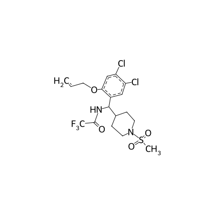 C=CCOc1cc(Cl)c(Cl)cc1C(NC(=O)C(F)(F)F)C1CCN(S(C)(=O)=O)CC1